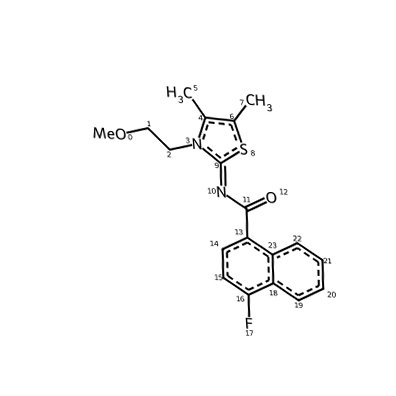 COCCn1c(C)c(C)s/c1=N\C(=O)c1ccc(F)c2ccccc12